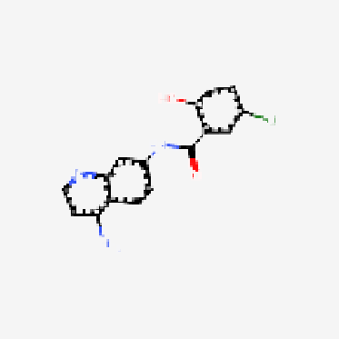 Nc1ccnc2cc(NC(=O)c3cc(Cl)ccc3O)ccc12